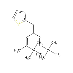 CC(=CC(C=CC(C)(C)C)=Cc1cccs1)C(C)(C)C